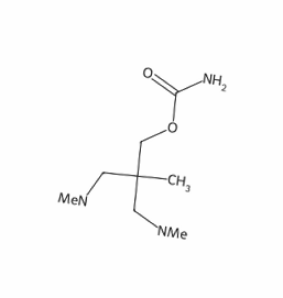 CNCC(C)(CNC)COC(N)=O